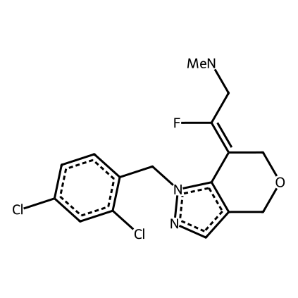 CNC/C(F)=C1\COCc2cnn(Cc3ccc(Cl)cc3Cl)c21